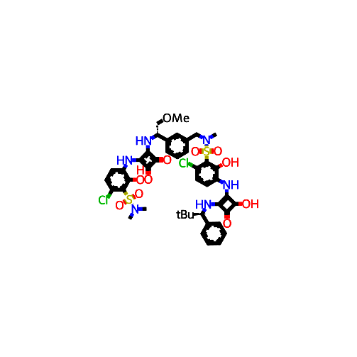 COC[C@@H](Nc1c(Nc2ccc(Cl)c(S(=O)(=O)N(C)C)c2O)c(=O)c1=O)c1cccc(CN(C)S(=O)(=O)c2c(Cl)ccc(NC3=C(N[C@@H](c4ccccc4)C(C)(C)C)C(=O)C3O)c2O)c1